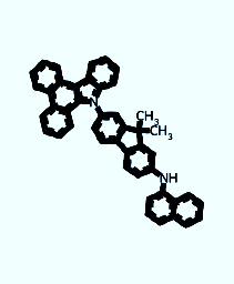 CC1(C)c2cc(Nc3cccc4ccccc34)ccc2-c2ccc(-n3c4ccccc4c4c5ccccc5c5ccccc5c43)cc21